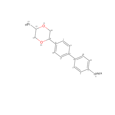 CCCCCCc1ccc(-c2ccc(C3COC(CCC)CO3)cc2)cc1